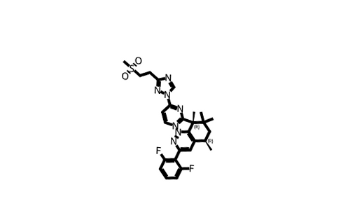 C[C@@H]1CC(C)(C)[C@@](C)(c2nccc(-n3cnc(CCS(C)(=O)=O)n3)n2)c2nnc(-c3c(F)cccc3F)cc21